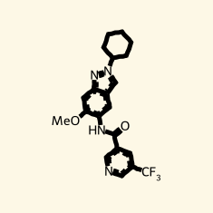 COc1cc2nn(C3CCCCC3)cc2cc1NC(=O)c1cncc(C(F)(F)F)c1